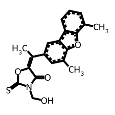 C/C(=C1\OC(=S)N(CO)C1=O)c1cc(C)c2oc3c(C)cccc3c2c1